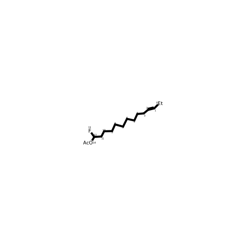 CCC=CCCCCCCCCCC(F)OC(C)=O